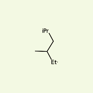 [CH2]C(C)CC(C)[CH]C